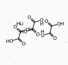 O=C(O)C(=O)O.O=C(O)C(=O)O.O=C(O)C(=O)O.[LiH]